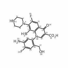 Bc1c(N2CCNCC2)c(F)cc2c(=O)c(C(=O)O)cn(-c3cc(N)c(F)cc3CO)c12